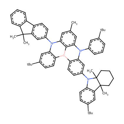 Cc1cc2c3c(c1)N(c1ccc4c(c1)C(C)(C)c1ccccc1-4)c1cc(C(C)(C)C)ccc1B3c1ccc(N3c4ccc(C(C)(C)C)cc4C4(C)CCCCC34C)cc1N2c1cccc(C(C)(C)C)c1